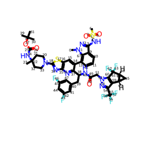 Cn1nc(NS(C)(=O)=O)c2cccc(-c3cc4sc(N5CCC(C)(NC(=O)OC(C)(C)C)CC5)nc4nc3C(Cc3cc(F)cc(F)c3)NC(=O)Cn3nc(C(F)(F)F)c4c3C(F)(F)[C@@H]3C[C@H]43)c21